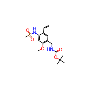 C=Cc1cc(CNC(=O)OC(C)(C)C)c(OC)cc1NS(C)(=O)=O